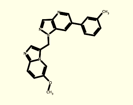 COc1ccc2ncc(Cn3ncc4ncc(-c5cccc(C)c5)cc43)n2c1